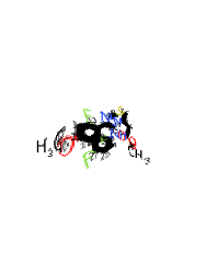 COC(=O)Cc1csc2nc(-c3c(F)cc(OC)cc3F)c(Nc3ccc(F)cc3)n12